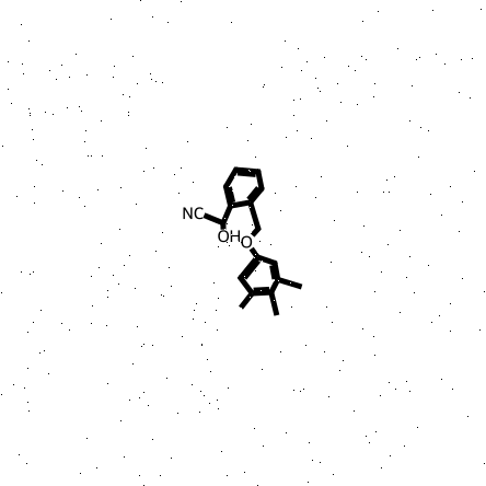 Cc1cc(OCc2ccccc2C(O)C#N)cc(C)c1C